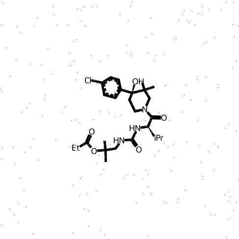 CCC(=O)OC(C)(C)CNC(=O)N[C@@H](C(=O)N1CC[C@](O)(c2ccc(Cl)cc2)C(C)(C)C1)C(C)C